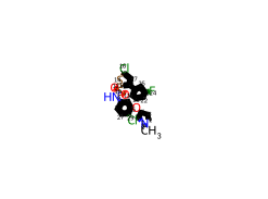 CN1CC[C@@H](Oc2cc(NS(=O)(=O)c3sc(Cl)cc3-c3cccc(F)c3)ccc2Cl)C1